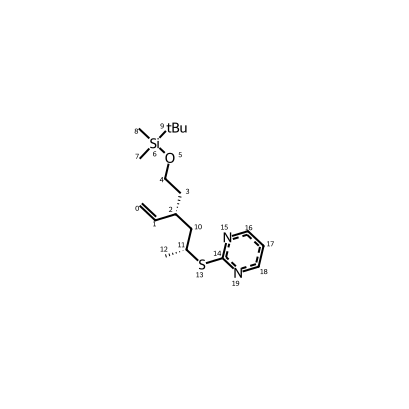 C=C[C@H](CCO[Si](C)(C)C(C)(C)C)C[C@@H](C)Sc1ncccn1